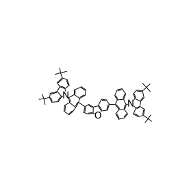 CC(C)(C)c1ccc2c(c1)c1cc(C(C)(C)C)ccc1n2-c1c2ccccc2c(-c2ccc3c(c2)oc2ccc(-c4c5ccccc5c(-n5c6ccc(C(C)(C)C)cc6c6cc(C(C)(C)C)ccc65)c5ccccc45)cc23)c2ccccc12